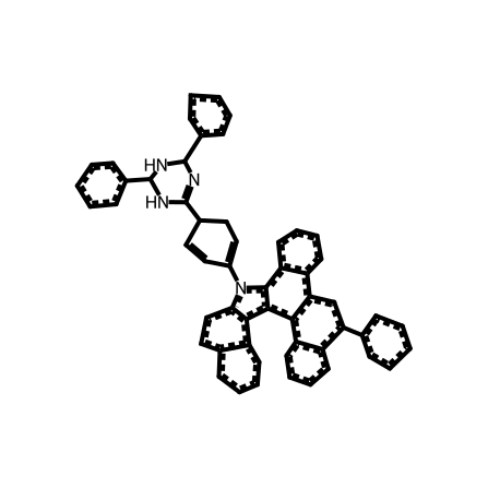 C1=CC(C2=NC(c3ccccc3)NC(c3ccccc3)N2)CC=C1n1c2ccc3ccccc3c2c2c3c4ccccc4c(-c4ccccc4)cc3c3ccccc3c21